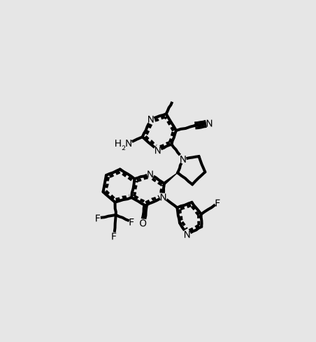 Cc1nc(N)nc(N2CCC[C@H]2c2nc3cccc(C(F)(F)F)c3c(=O)n2-c2cncc(F)c2)c1C#N